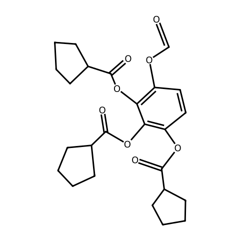 O=COc1ccc(OC(=O)C2CCCC2)c(OC(=O)C2CCCC2)c1OC(=O)C1CCCC1